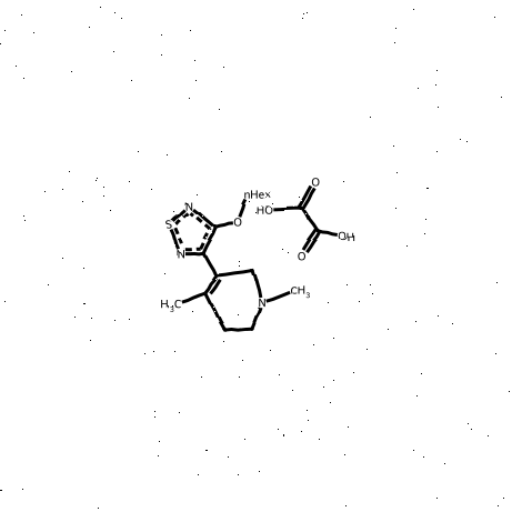 CCCCCCOc1nsnc1C1=C(C)CCN(C)C1.O=C(O)C(=O)O